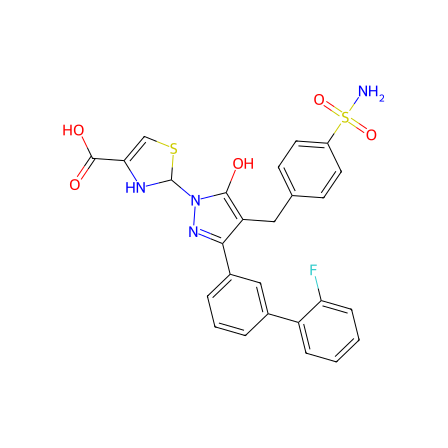 NS(=O)(=O)c1ccc(Cc2c(-c3cccc(-c4ccccc4F)c3)nn(C3NC(C(=O)O)=CS3)c2O)cc1